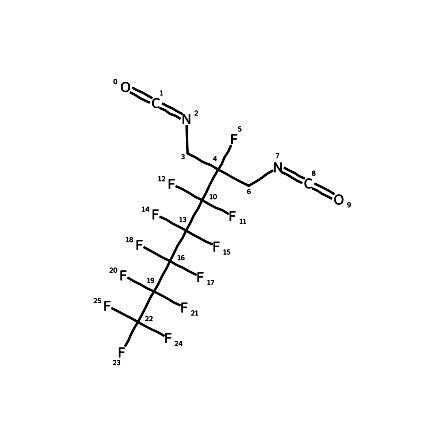 O=C=NCC(F)(CN=C=O)C(F)(F)C(F)(F)C(F)(F)C(F)(F)C(F)(F)F